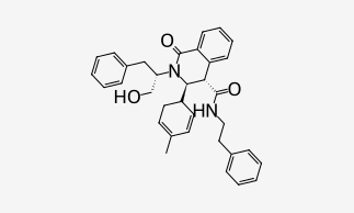 CC1=CCC([C@@H]2[C@@H](C(=O)NCCc3ccccc3)c3ccccc3C(=O)N2[C@H](CO)Cc2ccccc2)C=C1